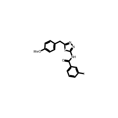 COc1ccc(Cc2nnc(NC(=O)c3cccc(I)c3)s2)cc1